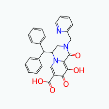 O=C(O)c1cn2c(c(O)c1=O)C(=O)N(Cc1ccccn1)CC2C(c1ccccc1)c1ccccc1